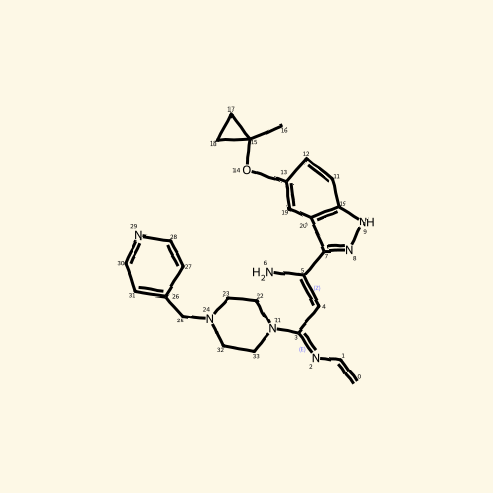 C=C/N=C(\C=C(/N)c1n[nH]c2ccc(OC3(C)CC3)cc12)N1CCN(Cc2ccncc2)CC1